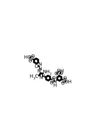 Cc1nn(-c2ccc(S(=O)(=O)Nc3cc(S(=O)(=O)O)cc(S(=O)(=O)O)c3)cc2)c(N)c1N=Nc1nc2ccc(S(=O)(=O)O)cc2o1